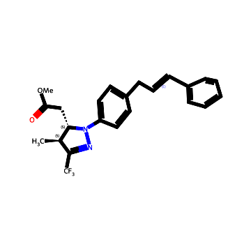 COC(=O)C[C@H]1[C@H](C)C(C(F)(F)F)=NN1c1ccc(C/C=C/c2ccccc2)cc1